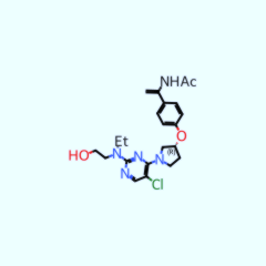 C=C(NC(C)=O)c1ccc(O[C@@H]2CCN(c3nc(N(CC)CCO)ncc3Cl)C2)cc1